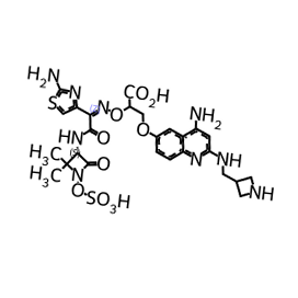 CC1(C)[C@H](NC(=O)/C(=N\OC(COc2ccc3nc(NCC4CNC4)cc(N)c3c2)C(=O)O)c2csc(N)n2)C(=O)N1OS(=O)(=O)O